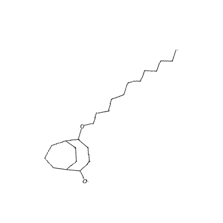 [CH2]CCCCCCCCCCCOC1CCC([O])C2CCCC1CC2